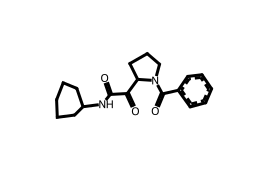 O=C(NC1CCCCC1)C(=O)C1CCCN1C(=O)c1ccccc1